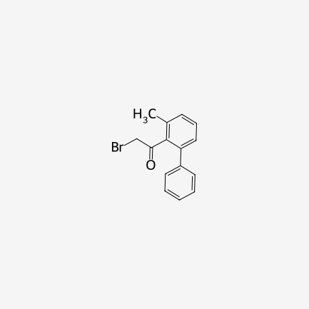 Cc1cccc(-c2ccccc2)c1C(=O)CBr